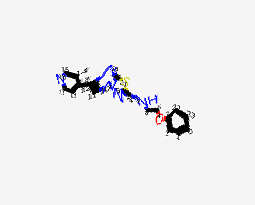 c1ccc(OCCNc2nn3cc(-c4ccncc4)nc3s2)cc1